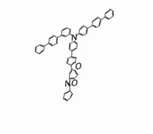 c1ccc(-c2ccc(-c3ccc(N(c4ccc(-c5ccc6c(c5)oc5cc7oc(-c8ccccc8)nc7cc56)cc4)c4cccc(-c5ccc(-c6ccccc6)cc5)c4)cc3)cc2)cc1